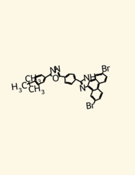 CC(C)(C)c1ccc(-c2nnc(-c3ccc(-c4nc5c6cc(Br)ccc6c6ccc(Br)cc6c5[nH]4)cc3)o2)cc1